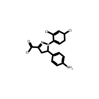 Nc1ccc(C2CC(C(=O)Cl)=NN2C2=CCC(Cl)C=C2Cl)cc1